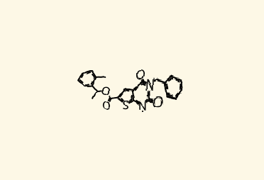 Cc1ccccc1C(C)OC(=O)c1cc2c(=O)n(Cc3ccccc3)c(=O)n(C)c2s1